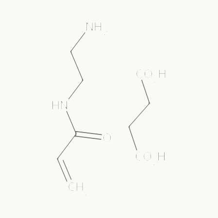 C=CC(=O)NCCN.O=C(O)CCC(=O)O